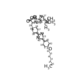 CCCCCCCOc1ccc(-c2cnc(-c3ccc(CC(NC(=O)c4ncc(C(C)(C)C)s4)C(=O)O)cc3)nc2)cc1